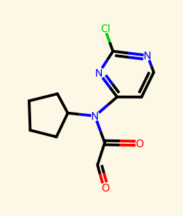 O=CC(=O)N(c1ccnc(Cl)n1)C1CCCC1